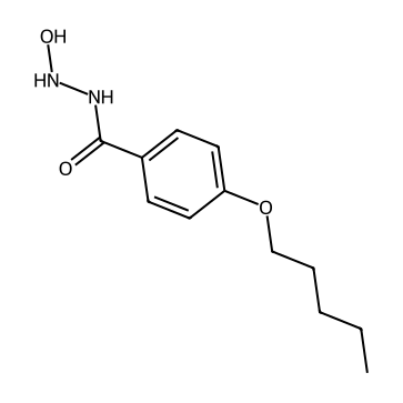 CCCCCOc1ccc(C(=O)NNO)cc1